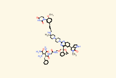 COc1ccc(C#CCNC2(C)CCN(C3CCN(c4nc([C@@](COCNC(=O)CNC(=O)[C@@H](Cc5ccccc5)C(C(N)=O)C(N)C(N)=O)(OC5CC5)c5ccccc5)c5cc(-c6cn(C)c(=O)c7[nH]ccc67)ccc5n4)CC3)CC2)cc1N1CCC(=O)NC1=O